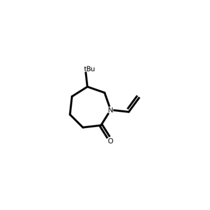 C=CN1CC(C(C)(C)C)CCCC1=O